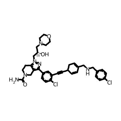 NC(=O)N1CCc2c(c(-c3ccc(Cl)c(C#CC4C=CC(CNCc5ccc(Cl)cc5)=CC4)c3)nn2C[C@@H](O)CN2CCOCC2)C1